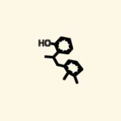 Cc1cccc(CC(C)c2ccccc2O)c1C